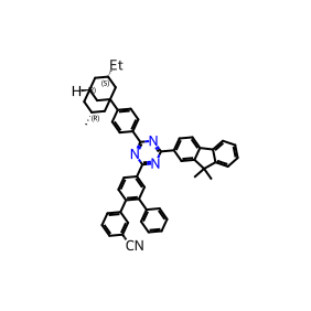 CC[C@H]1C[C@H]2C[C@@H](C)CC(c3ccc(-c4nc(-c5ccc(-c6cccc(C#N)c6)c(-c6ccccc6)c5)nc(-c5ccc6c(c5)C(C)(C)c5ccccc5-6)n4)cc3)(C2)C1